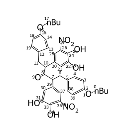 CCCCOc1ccc(CC(C(=O)C(Cc2ccc(OCCCC)cc2)c2cc(O)c(O)c([N+](=O)[O-])c2)c2cc(O)c(O)c([N+](=O)[O-])c2)cc1